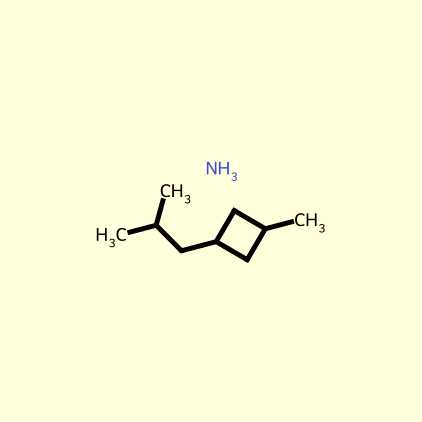 CC(C)CC1CC(C)C1.N